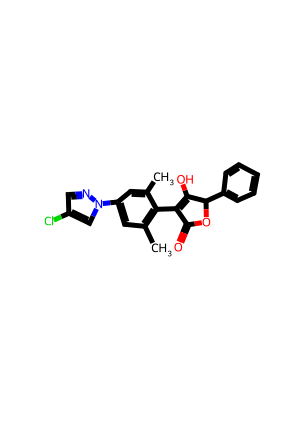 Cc1cc(-n2cc(Cl)cn2)cc(C)c1C1=C(O)C(c2ccccc2)OC1=O